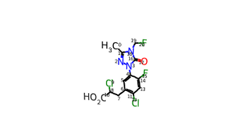 Cc1nn(-c2cc(CC(Cl)C(=O)O)c(Cl)cc2F)c(=O)n1CF